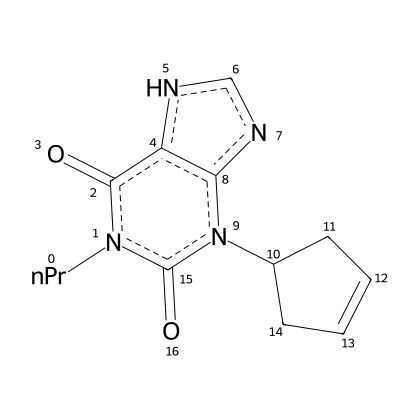 CCCn1c(=O)c2[nH]cnc2n(C2CC=CC2)c1=O